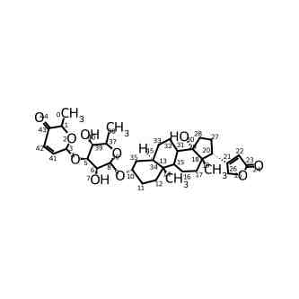 CC1OC(O[C@@H]2[C@H](O)C(O[C@H]3CCC4(C)C5CCC6(C)[C@@H](C7=CC(=O)OC7)CC[C@]6(O)C5CC[C@@H]4C3)OC(C)[C@@H]2O)C=CC1=O